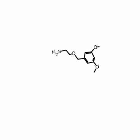 COc1cc(COCCN)cc(OC)c1